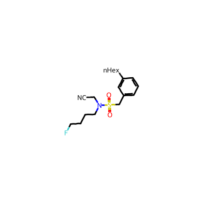 CCCCCCc1cccc(CS(=O)(=O)N(CC#N)CCCCF)c1